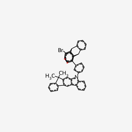 CC1(C)c2ccccc2-c2cc3c4ccccc4n(-c4cccc(-c5ccc(Br)c6c5C5c7ccccc7C6c6ccccc65)c4)c3cc21